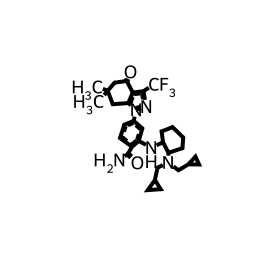 CC1(C)CC(=O)c2c(C(F)(F)F)nn(-c3ccc(C(N)=O)c(NC4CCCCC4N(CC4CC4)CC4CC4)c3)c2C1